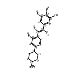 CCCC1CCC(c2ccc(C(F)=C(F)c3cc(F)c(F)c(F)c3)c(F)c2)CC1